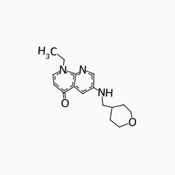 CCn1ccc(=O)c2cc(NCC3CCOCC3)cnc21